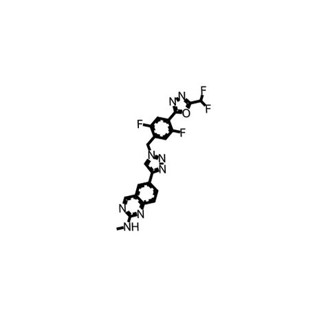 CNc1ncc2cc(-c3cn(Cc4cc(F)c(-c5nnc(C(F)F)o5)cc4F)nn3)ccc2n1